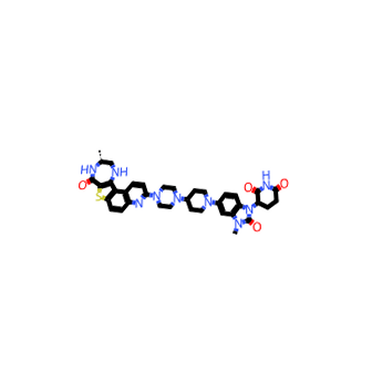 C[C@@H]1CNc2c(sc3ccc4nc(N5CCN(C6CCN(c7ccc8c(c7)n(C)c(=O)n8C7CCC(=O)NC7=O)CC6)CC5)ccc4c23)C(=O)N1